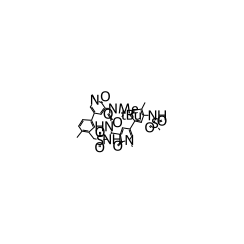 CNc1cc(-c2ccc(C)c(CS(=O)(=O)NC(NC(=O)OC(C)(C)C)c3cc(-c4ccc(C)c(NS(C)(=O)=O)c4)cn(C)c3=O)c2)cn(C)c1=O